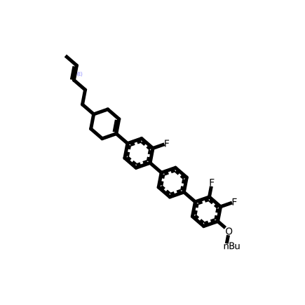 C/C=C/CCC1CC=C(c2ccc(-c3ccc(-c4ccc(OCCCC)c(F)c4F)cc3)c(F)c2)CC1